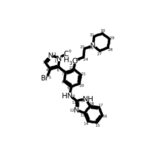 Cn1ncc(Br)c1-c1cc(Nc2nc3ccccc3[nH]2)ccc1OCCN1CCCCC1